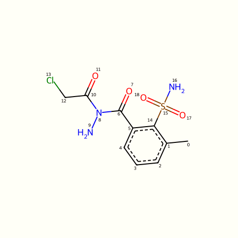 Cc1cccc(C(=O)N(N)C(=O)CCl)c1S(N)(=O)=O